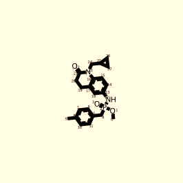 COP(=O)(Cc1ccc(C)cc1)Nc1ccc2c(c1)CCC(=O)N2CC1CC1